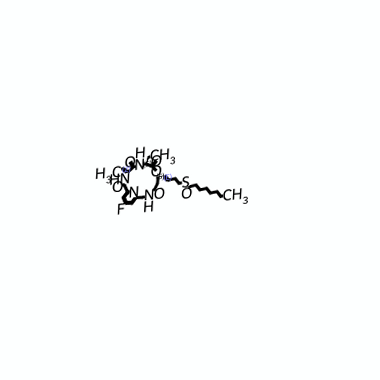 C/C=C1\NC(=O)c2cc(F)cc(n2)CNC(=O)C[C@@H](/C=C/CCSC(=O)CCCCCCC)OC(=O)[C@H](CC)NC1=O